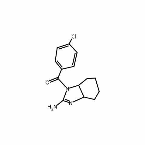 NC1=NC2CCCCC2N1C(=O)c1ccc(Cl)cc1